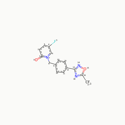 O=c1ccc(F)cn1Cc1ccc(-c2noc(C(F)(F)F)n2)cc1